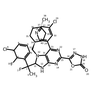 CC(F)(C1=CC=CC(Cl)C1F)C1Nc2nc(-c3n[nH]c(=O)o3)nc(-c3cncc(Cl)c3)c2N1C[C@H]1CC[C@H](C)CC1